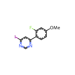 COc1ccc(-c2cc(I)ncn2)c(F)c1